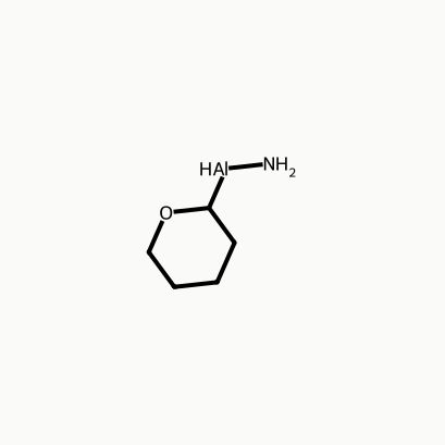 [NH2][AlH][CH]1CCCCO1